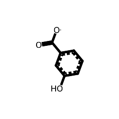 [O]C(=O)c1cccc(O)c1